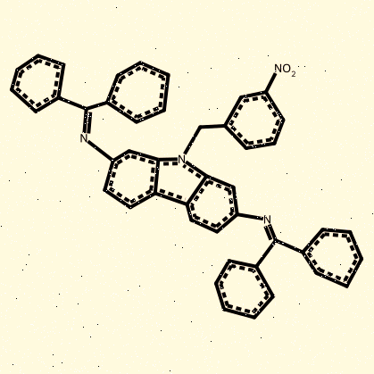 O=[N+]([O-])c1cccc(Cn2c3cc(N=C(c4ccccc4)c4ccccc4)ccc3c3ccc(N=C(c4ccccc4)c4ccccc4)cc32)c1